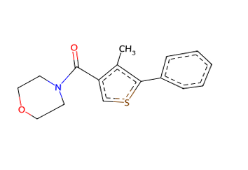 Cc1c(C(=O)N2CCOCC2)csc1-c1ccccc1